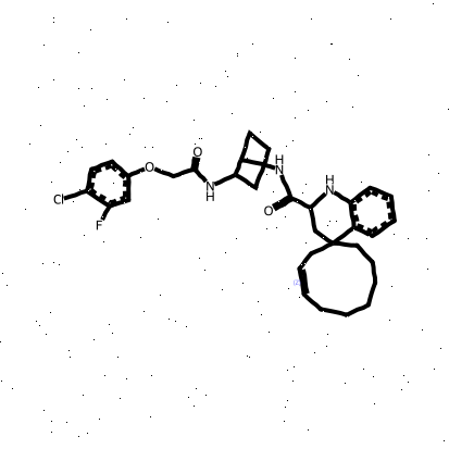 O=C(COc1ccc(Cl)c(F)c1)NC1CC2(NC(=O)C3CC4(C/C=C\CCCCCC4)c4ccccc4N3)CCC12